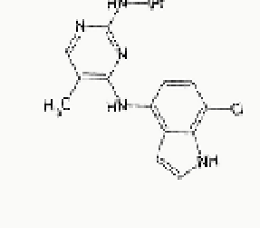 Cc1cnc(NC(C)C)nc1Nc1ccc(Cl)c2[nH]ccc12